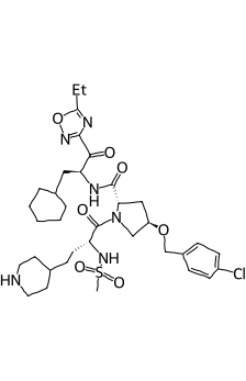 CCc1nc(C(=O)[C@H](CC2CCCCC2)NC(=O)[C@@H]2C[C@@H](OCc3ccc(Cl)cc3)CN2C(=O)[C@@H](CCC2CCNCC2)NS(C)(=O)=O)no1